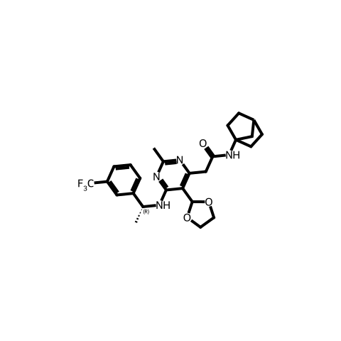 Cc1nc(CC(=O)NC23CCC(CC2)C3)c(C2OCCO2)c(N[C@H](C)c2cccc(C(F)(F)F)c2)n1